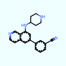 N#Cc1cccc(-c2cc(NC3CCNCC3)c3cnccc3c2)c1